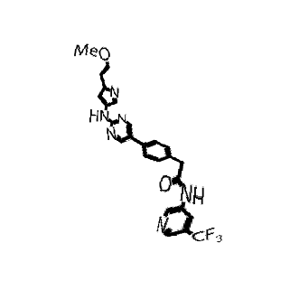 COCCC1C=C(Nc2ncc(-c3ccc(CC(=O)Nc4cncc(C(F)(F)F)c4)cc3)cn2)C=N1